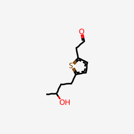 CC(O)CCc1ccc(CC=O)s1